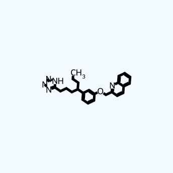 CCCC(CCCc1nnn[nH]1)c1cccc(OCc2ccc3ccccc3n2)c1